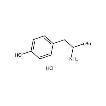 CCCCC(N)Cc1ccc(O)cc1.Cl